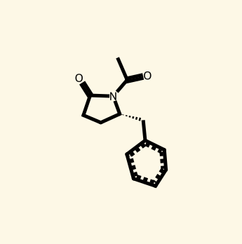 CC(=O)N1C(=O)CC[C@H]1Cc1ccccc1